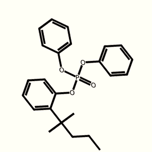 CCCC(C)(C)c1ccccc1OP(=O)(Oc1ccccc1)Oc1ccccc1